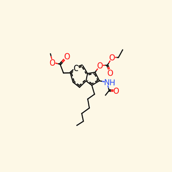 CCCCCCc1c2ccc(CC(=O)OC)ccc-2c(OC(=O)OCC)c1NC(C)=O